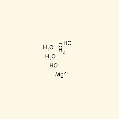 O.O.O.[Mg+2].[OH-].[OH-]